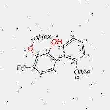 CCCCCCOc1c(O)cccc1CC.COc1ccccc1